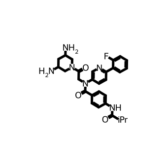 CC(C)C(=O)Nc1ccc(C(=O)N(CC(=O)N2CC(N)CC(N)C2)c2ccc(-c3ccccc3F)nc2)cc1